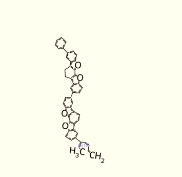 C=C/C=C\C(=C/C)c1ccc2oc3c(ccc4c5cc(-c6ccc7oc8c(c7c6)CCc6c-8oc7ccc(-c8ccccc8)cc67)ccc5oc43)c2c1